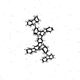 c1ccc2c(c1)sc1c2cc2c3cc4c(cc3n3c5ccc(-n6c7ccccc7c7ccccc76)cc5c1c23)c1cc2c3ccccc3sc2c2c3cc(-n5c6ccccc6c6ccccc65)ccc3n4c12